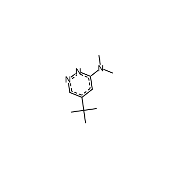 CN(C)c1cc(C(C)(C)C)cnn1